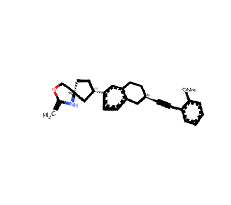 C=C1N[C@@]2(CC[C@H](c3ccc4c(c3)CC[C@@H](C#Cc3ccccc3OC)C4)C2)CO1